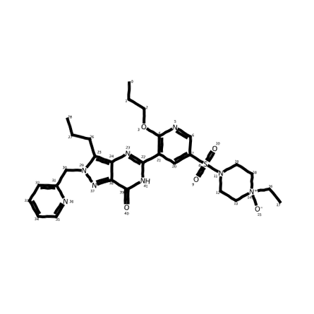 CCCOc1ncc(S(=O)(=O)N2CC[N+]([O-])(CC)CC2)cc1-c1nc2c(CCC)n(Cc3ccccn3)nc2c(=O)[nH]1